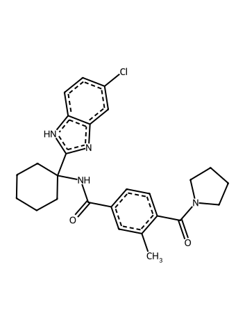 Cc1cc(C(=O)NC2(c3nc4cc(Cl)ccc4[nH]3)CCCCC2)ccc1C(=O)N1CCCC1